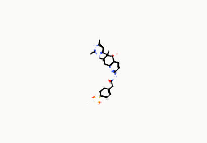 CCS(=O)(=O)c1ccc(CC(=O)Nc2ccc3c(n2)CC(C)C(C)(c2cc(C)nc(C)n2)C3=O)cc1